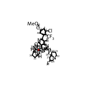 COCOc1cc(Cl)c(C(F)(F)F)c(-c2nc3c4c(nc(OC[C@]56CCCN5C[C@@H](F)C6)nc4c2F)N2C[C@H]4CC[C@@H]([C@@H]2CO3)N4C(=O)OC(C)(C)C)c1